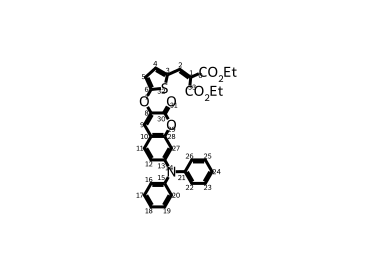 CCOC(=O)C(=Cc1ccc(Oc2cc3ccc(N(c4ccccc4)c4ccccc4)cc3oc2=O)s1)C(=O)OCC